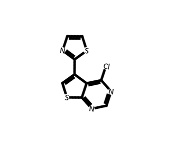 Clc1ncnc2scc(-c3nccs3)c12